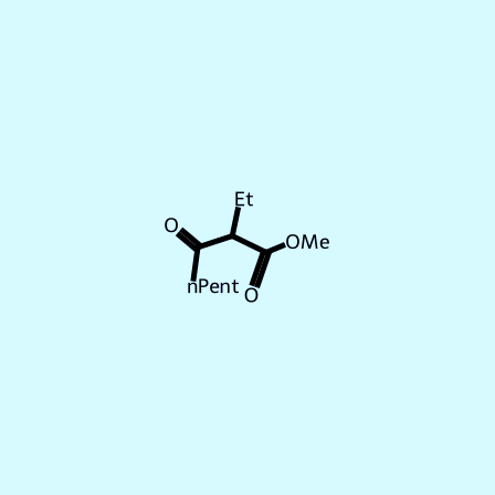 CCCCCC(=O)C(CC)C(=O)OC